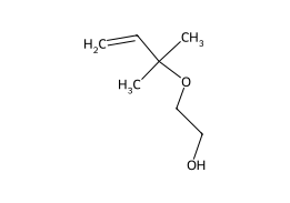 C=CC(C)(C)OCCO